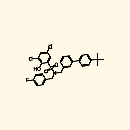 CC(C)(C)c1ccc(-c2cccc(CN(Cc3ccc(F)cc3)S(=O)(=O)c3cc(Cl)cc(Cl)c3O)c2)cc1